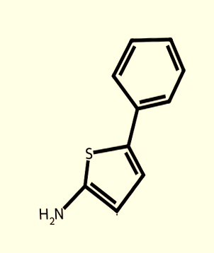 Nc1[c]cc(-c2ccccc2)s1